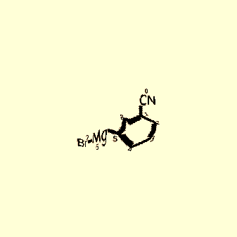 N#Cc1ccc[c]([Mg][Br])c1